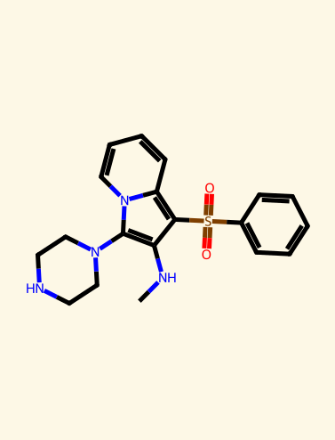 CNc1c(S(=O)(=O)c2ccccc2)c2ccccn2c1N1CCNCC1